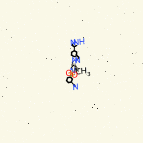 C[C@@H]1C[C@H](Cn2ncc3cc(-c4cn[nH]c4)ccc32)CN1S(=O)(=O)c1cccc(C#N)c1